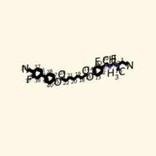 CC/C(CC#N)=C(F)\C=C(/C)c1ccc(OC(=O)CCCCCC(=O)Oc2ccc(-c3ccc(C#N)c(F)c3)cc2)cc1F